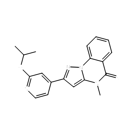 CC(C)Oc1cc(-c2cc3n(C)c(=O)c4ccccc4n3n2)ccn1